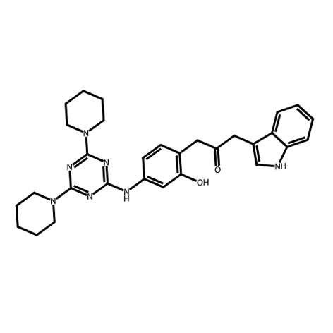 O=C(Cc1ccc(Nc2nc(N3CCCCC3)nc(N3CCCCC3)n2)cc1O)Cc1c[nH]c2ccccc12